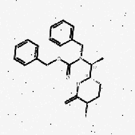 C=C1O[C@H]([C@H](C)N(Cc2ccccc2)C(=O)OCc2ccccc2)CCC1I